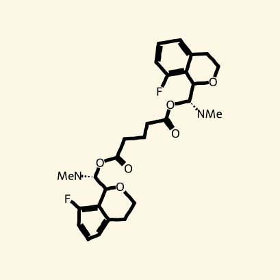 CN[C@H](OC(=O)CCCC(=O)O[C@@H](NC)C1OCCc2cccc(F)c21)C1OCCc2cccc(F)c21